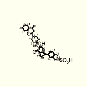 CC(CC(=O)N1CCC(O)(Cn2cnc3c(-c4ccc5c(c4)CN(C(=O)O)C5)scc3c2=O)CC1)c1ccccc1